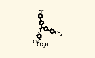 O=C(O)C(Cl)Oc1ccc(SCC=C(c2ccc(-c3ccc(C(F)(F)F)cc3)cc2)c2ccc(-c3ccc(C(F)(F)F)cc3)cc2)cc1